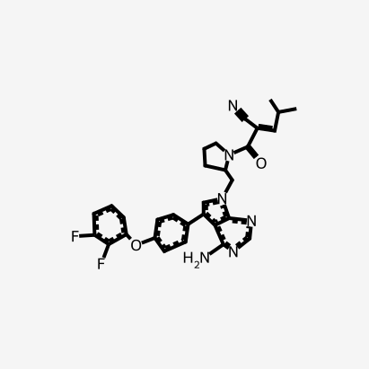 CC(C)C=C(C#N)C(=O)N1CCCC1Cn1cc(-c2ccc(Oc3cccc(F)c3F)cc2)c2c(N)ncnc21